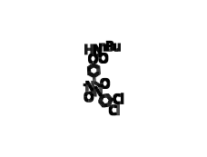 CCCCNC(=O)Oc1ccc(C2C(=O)N(c3ccc(Cl)c(Cl)c3)C(=O)N2C)cc1